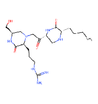 CCCC[C@@H]1NC[C@H](C(=O)CN2C[C@H](CO)NC(=O)[C@@H]2CCCNC(=N)N)NC1=O